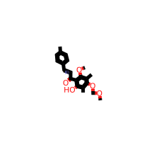 COCOc1c(C)c(O)c(C(=O)/C=C/c2ccc(C)cc2)c(OC)c1C